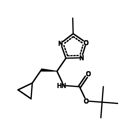 Cc1nc([C@H](CC2CC2)NC(=O)OC(C)(C)C)no1